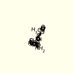 C[C@@H]1COCC[C@H]1OCCOc1ccc(Oc2cc3c(cnn3C)cc2C(N)=O)cc1